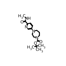 CNC(=O)c1ccc(N2CCCN(C(=O)OC(C)(C)C)CC2)cn1